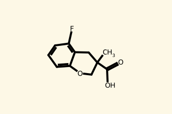 CC1(C(=O)O)COc2cccc(F)c2C1